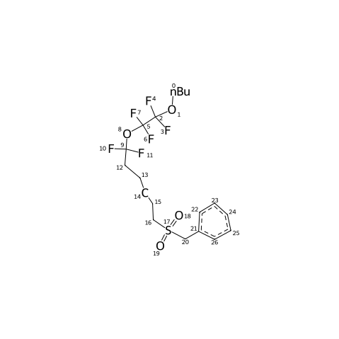 CCCCOC(F)(F)C(F)(F)OC(F)(F)CCCCCS(=O)(=O)Cc1ccccc1